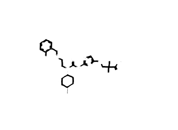 CC(C)(CSc1cnc(NC(=O)N(CCOCc2ccccc2F)[C@H]2CC[C@H](C)CC2)s1)C(=O)O